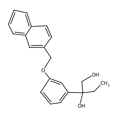 CCC(O)(CO)c1cccc(OCc2ccc3ccccc3c2)c1